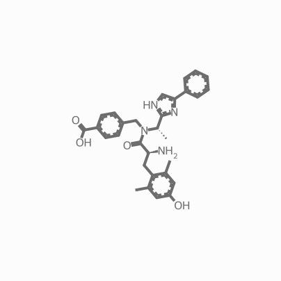 Cc1cc(O)cc(C)c1C[C@H](N)C(=O)N(Cc1ccc(C(=O)O)cc1)[C@@H](C)c1nc(-c2ccccc2)c[nH]1